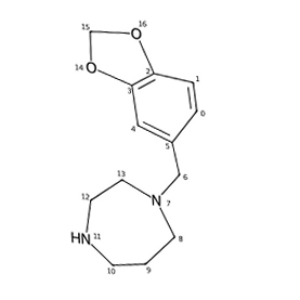 c1cc2c(cc1CN1CCCNCC1)OCO2